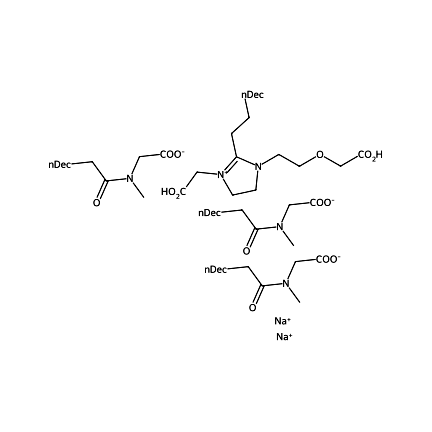 CCCCCCCCCCCC(=O)N(C)CC(=O)[O-].CCCCCCCCCCCC(=O)N(C)CC(=O)[O-].CCCCCCCCCCCC(=O)N(C)CC(=O)[O-].CCCCCCCCCCCCC1=[N+](CC(=O)O)CCN1CCOCC(=O)O.[Na+].[Na+]